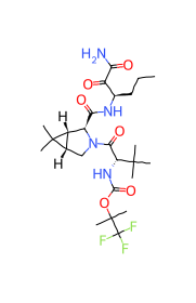 CCC[C@@H](NC(=O)[C@@H]1[C@@H]2[C@H](CN1C(=O)[C@@H](NC(=O)OC(C)(C)C(F)(F)F)C(C)(C)C)C2(C)C)C(=O)C(N)=O